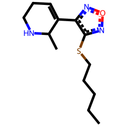 CCCCCSc1nonc1C1=CCCNC1C